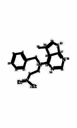 CCN(CC)CCN(Cc1ccccc1)c1ncnc2scc(C)c12